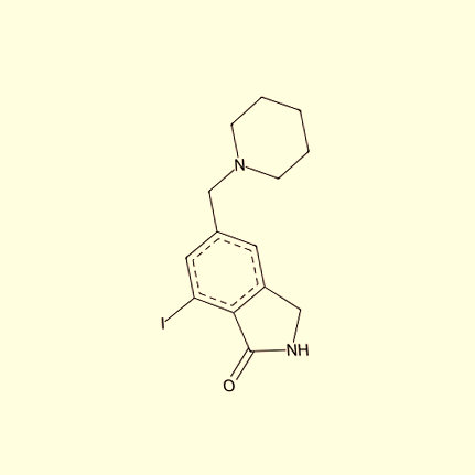 O=C1NCc2cc(CN3CCCCC3)cc(I)c21